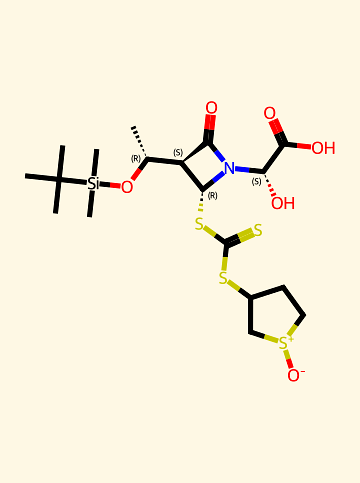 C[C@@H](O[Si](C)(C)C(C)(C)C)[C@H]1C(=O)N([C@@H](O)C(=O)O)[C@@H]1SC(=S)SC1CC[S+]([O-])C1